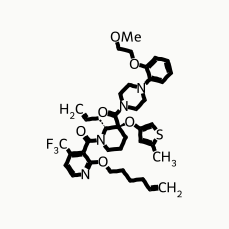 C=CCCCCOc1nccc(C(F)(F)F)c1C(=O)N1CCC[C@@](Oc2csc(C)c2)(C(=O)N2CCN(c3ccccc3OCCOC)CC2)[C@H]1CC=C